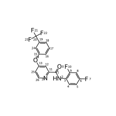 O=C(Nc1ccc(F)cc1F)c1cc(Oc2cccc(C(F)(F)F)c2)ccn1